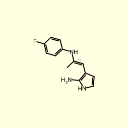 C/C(=C\c1cc[nH]c1N)Nc1ccc(F)cc1